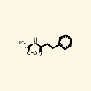 CC(C)[C@@H](C=O)NC(=O)CCc1ccccc1